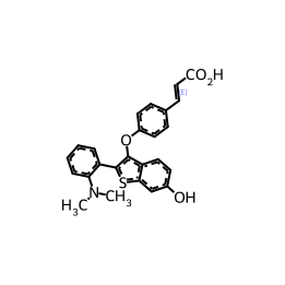 CN(C)c1ccccc1-c1sc2cc(O)ccc2c1Oc1ccc(/C=C/C(=O)O)cc1